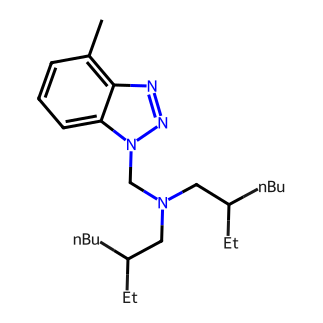 CCCCC(CC)CN(CC(CC)CCCC)Cn1nnc2c(C)cccc21